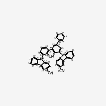 N#Cc1ccc2c(c1)c1ccccc1n2-c1cc(-c2ccccc2)cc(-c2cccc(-n3c4ccccc4c4cc(C#N)ccc43)c2C#N)c1